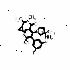 CC(C1CC1)N(C)C(=O)c1cnc(C#N)c(-c2cc(F)cc(F)c2)c1N1CC[C@](C)(N)C1